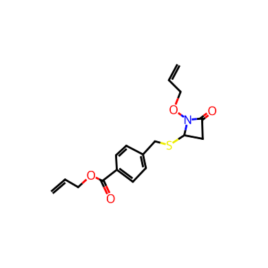 C=CCOC(=O)c1ccc(CSC2CC(=O)N2OCC=C)cc1